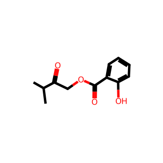 CC(C)C(=O)COC(=O)c1ccccc1O